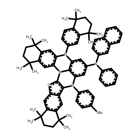 CC(C)(C)c1ccc(N2c3cc(N(c4ccccc4)c4ccc5ccccc5c4)cc4c3B(c3cc5c(cc3N4c3ccc4c(c3)C(C)(C)CCC4(C)C)C(C)(C)CCC5(C)C)c3oc4cc5c(cc4c32)C(C)(C)CCC5(C)C)cc1